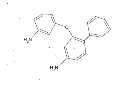 Nc1cccc(Oc2cc(N)ccc2-c2ccccc2)c1